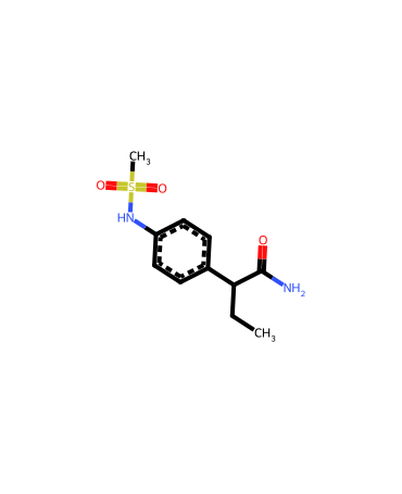 CCC(C(N)=O)c1ccc(NS(C)(=O)=O)cc1